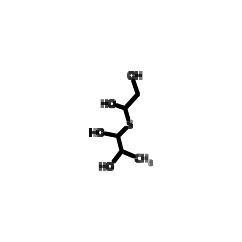 CC(O)C(O)SC(O)CO